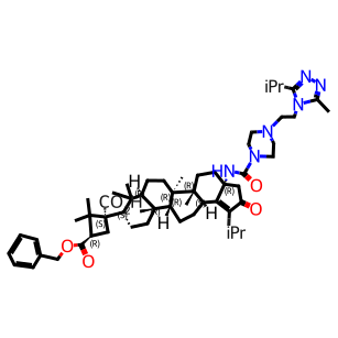 Cc1nnc(C(C)C)n1CCN1CCN(C(=O)N[C@@]23CC[C@]4(C)[C@H](CC[C@@H]5[C@]6(C)CC[C@H]([C@@]7(C(=O)O)C[C@@H](C(=O)OCc8ccccc8)C7(C)C)C(C)(C)[C@H]6CC[C@]54C)C2=C(C(C)C)C(=O)C3)CC1